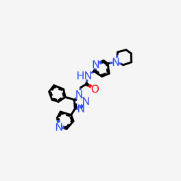 O=C(Cn1nnc(-c2ccncc2)c1-c1ccccc1)Nc1ccc(N2CCCCC2)cn1